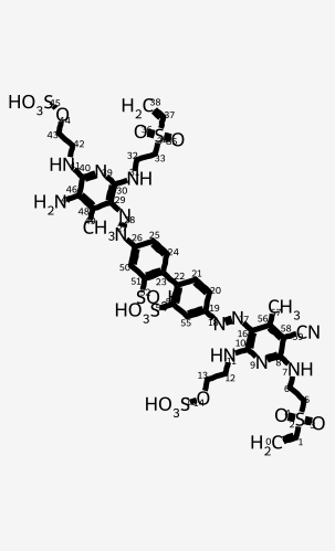 C=CS(=O)(=O)CCNc1nc(NCCOS(=O)(=O)O)c(/N=N/c2ccc(-c3ccc(/N=N/c4c(NCCS(=O)(=O)C=C)nc(NCCOS(=O)(=O)O)c(N)c4C)cc3S(=O)(=O)O)c(S(=O)(=O)O)c2)c(C)c1C#N